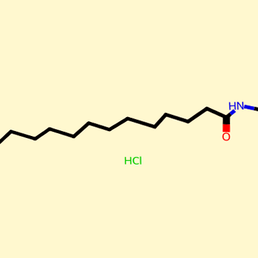 CCCCCCCCCCCCC(=O)NC.Cl